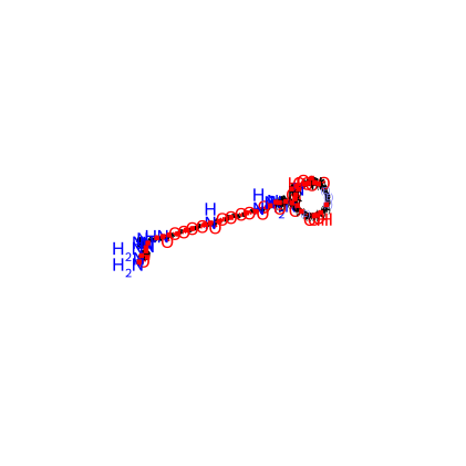 CO[C@H]1C[C@@H]2CCC[C@@](O)(O2)C(=O)C(=O)N2CCCC[C@H]2C(=O)O[C@H]([C@H](N)C[C@@H]2CC[C@H](n3cc(COC(=O)NCCOCCOCCOCCOCCC(=O)NCCOCCOCCOCCOCCC(=O)NCCCCn4nc(-c5ccc6oc(N)nc6c5)c5c(N)ncnc54)nn3)[C@H](OC)C2)CC(=O)[C@H](C)/C=C(\C)[C@@H](O)[C@@H](O)C(=O)[C@H](C)C[C@H](C)/C=C/C=C/C=C/1C